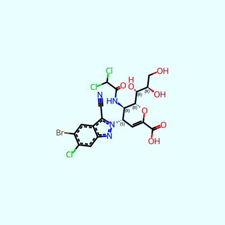 N#Cc1c2cc(Br)c(Cl)cc2nn1[C@H]1C=C(C(=O)O)O[C@@H]([C@H](O)[C@H](O)CO)[C@@H]1NC(=O)C(Cl)Cl